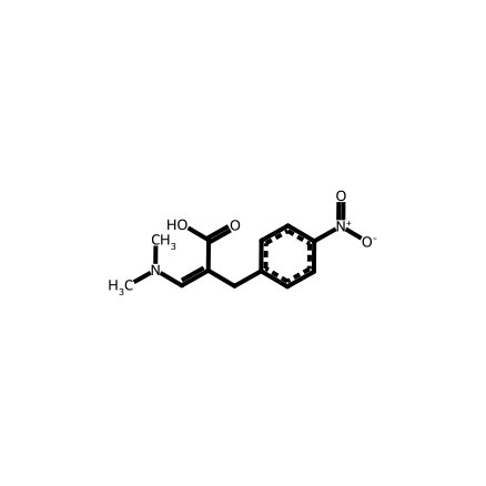 CN(C)C=C(Cc1ccc([N+](=O)[O-])cc1)C(=O)O